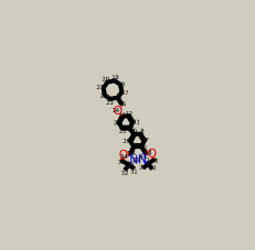 CC1(C)COC(c2ccc(-c3ccc(OCC4CCCCCCC4)cc3)cc2C2=NC(C)(C)CO2)=N1